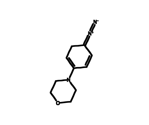 [N-]=[N+]=C1C=CC(N2CCOCC2)=CC1